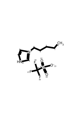 CCCCC[n+]1cc[nH]c1.O=S(=O)([O-])C(F)(F)F